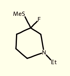 CCN1CCCC(F)(SC)C1